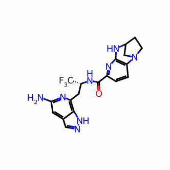 Nc1cc2cn[nH]c2c(C[C@@H](NC(=O)c2ccc3c(n2)NC2CCN3C2)C(F)(F)F)n1